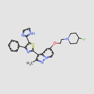 Cc1nn2ccc(OCCN3CCC(F)CC3)cc2c1-c1nc(-c2ccccc2)c(-c2ncc[nH]2)s1